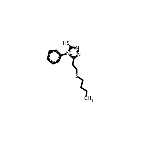 CCCCSCCc1nnc(S)n1-c1ccccc1